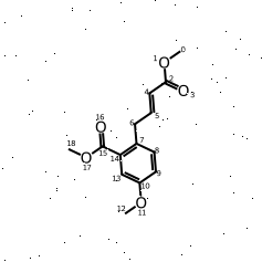 COC(=O)C=CCc1ccc(OC)cc1C(=O)OC